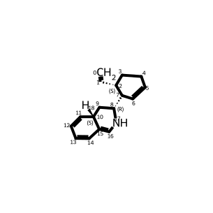 C=C[C@@H]1CCC=CC1[C@H]1C[C@H]2C=CC=CC2=CN1